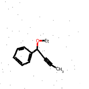 CC#CC(OCC)c1ccccc1